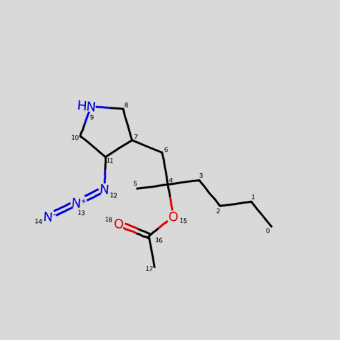 CCCCC(C)(CC1CNCC1N=[N+]=[N-])OC(C)=O